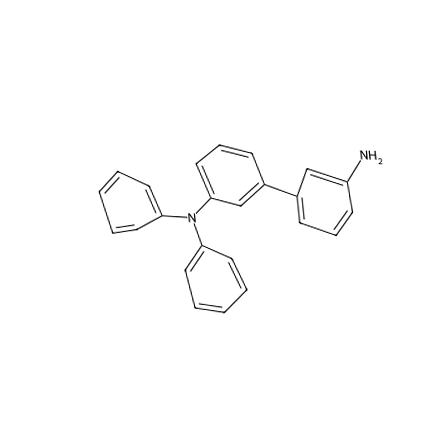 Nc1cccc(-c2cccc(N(c3ccccc3)c3ccccc3)c2)c1